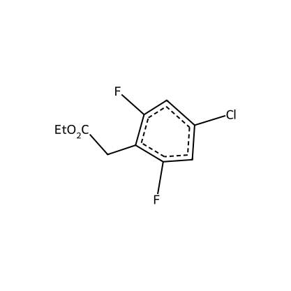 CCOC(=O)Cc1c(F)cc(Cl)cc1F